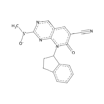 C[S+]([O-])c1ncc2cc(C#N)c(=O)n(C3CCc4ccccc43)c2n1